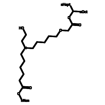 CCCCCCCCCOC(=O)CCCCCN(CCO)CCCCCOCC(=O)OC(CCCCCCC)CCCCCCCC